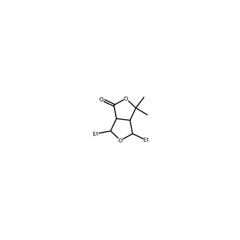 CCC1OC(CC)C2C1C(=O)OC2(C)C